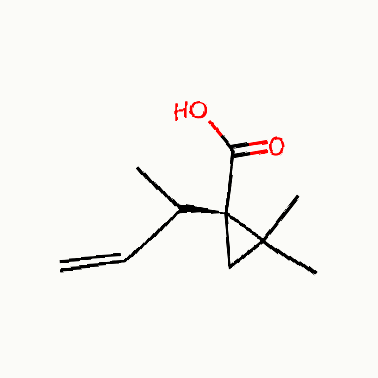 C=CC(C)[C@]1(C(=O)O)CC1(C)C